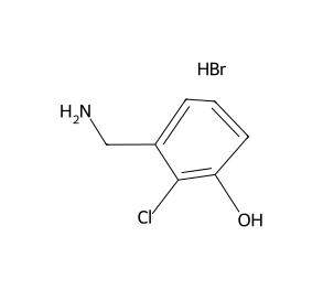 Br.NCc1cccc(O)c1Cl